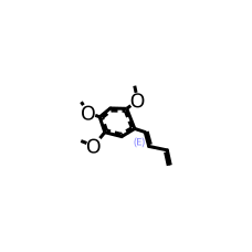 C=C/C=C/c1cc(OC)c(OC)cc1OC